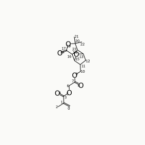 C=C(C)C(=O)OCC(=O)OCC1CC2OC1C1C(=O)OC(C)(C)C21